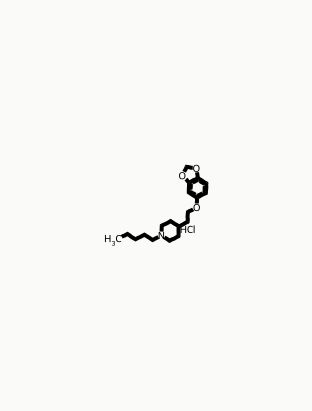 CCCCCN1CCC(CCOc2ccc3c(c2)OCO3)CC1.Cl